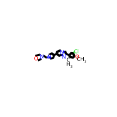 COc1cc(C)c(-c2cn3ccc(C4=CCN(CCN5CCOCC5)CC4)cc3n2)cc1Cl